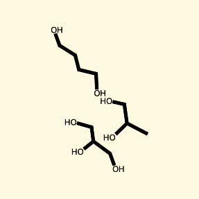 CC(O)CO.OCC(O)CO.OCCCCO